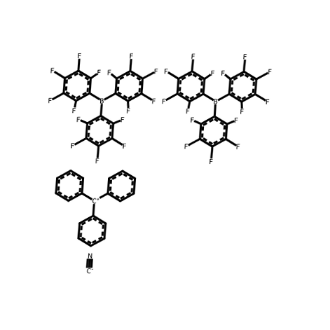 Fc1c(F)c(F)c(B(c2c(F)c(F)c(F)c(F)c2F)c2c(F)c(F)c(F)c(F)c2F)c(F)c1F.Fc1c(F)c(F)c(B(c2c(F)c(F)c(F)c(F)c2F)c2c(F)c(F)c(F)c(F)c2F)c(F)c1F.[C-]#N.c1ccc([C+](c2ccccc2)c2ccccc2)cc1